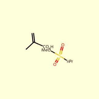 C=C(C)C(=O)O.CCCS(=O)(=O)OC